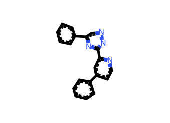 c1ccc(-c2ccnc(-c3nncc(-c4ccccc4)n3)c2)cc1